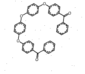 O=C(c1ccccc1)c1ccc(Oc2ccc(Oc3ccc(Oc4ccc(C(=O)c5ccccc5)cc4)cc3)cc2)cc1